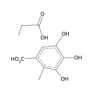 CCC(=O)O.Cc1c(C(=O)O)cc(O)c(O)c1O